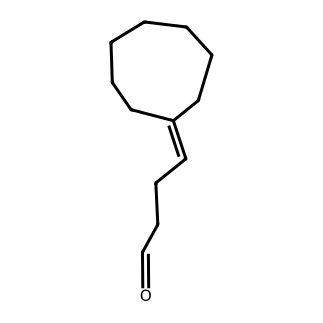 O=CCCC=C1CCCCCCC1